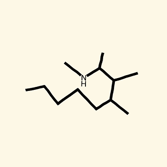 CCCCCC(C)C(C)C(C)NC